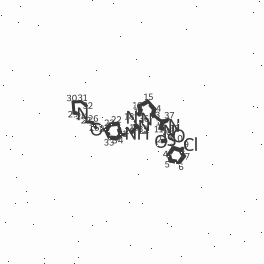 O=S(=O)(c1ccccc1Cl)n1cc(-c2cccc3nc(Nc4ccc(OCCN5CCCC5)cc4)nn23)cn1